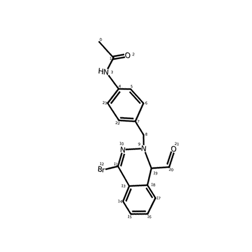 CC(=O)Nc1ccc(CN2N=C(Br)c3ccccc3C2C=O)cc1